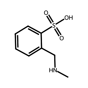 CNCc1ccccc1S(=O)(=O)O